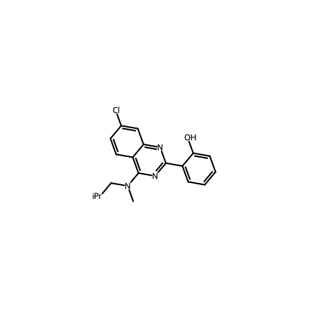 CC(C)CN(C)c1nc(-c2ccccc2O)nc2cc(Cl)ccc12